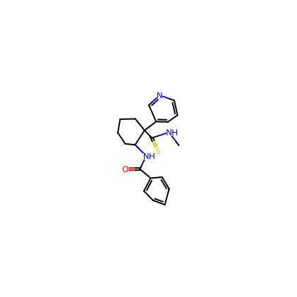 CNC(=S)C1(c2cccnc2)CCCCC1NC(=O)c1ccccc1